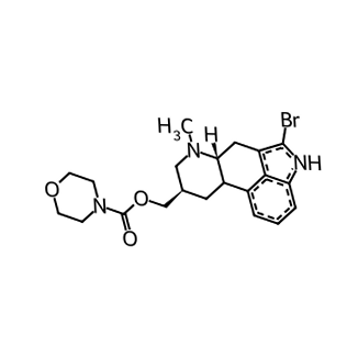 CN1C[C@H](COC(=O)N2CCOCC2)CC2c3cccc4[nH]c(Br)c(c34)C[C@H]21